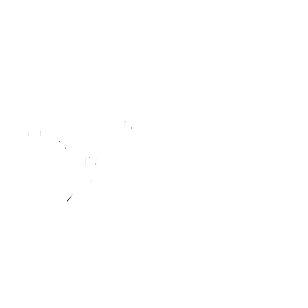 CCCN(C)C(=O)[C@@]1(C)CC[C@@H](c2cc(-c3ccc(F)cc3)ccn2)N1